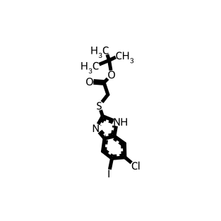 CC(C)(C)OC(=O)CSc1nc2cc(I)c(Cl)cc2[nH]1